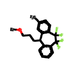 CCOCCCC1c2ccccc2C(F)(F)C(F)(F)c2ccc(C(F)(F)F)cc21